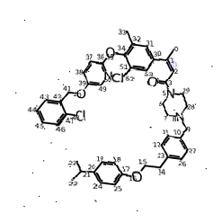 C/C(=C/C(=O)N1CCN(Cc2ccc(CCOc3ccc(C(C)C)cc3)cc2)CC1)c1cc(C)c(Oc2ccc(OCc3ccccc3Cl)cn2)c(Cl)c1